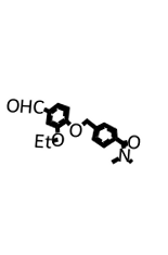 CCOc1cc(C=O)ccc1OCc1ccc(C(=O)N(C)C)cc1